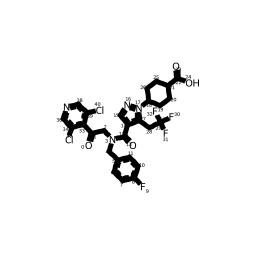 O=C(CN(Cc1ccc(F)cc1)C(=O)c1cnn(C2CCC(C(=O)O)CC2)c1CC(F)(F)F)c1c(Cl)cncc1Cl